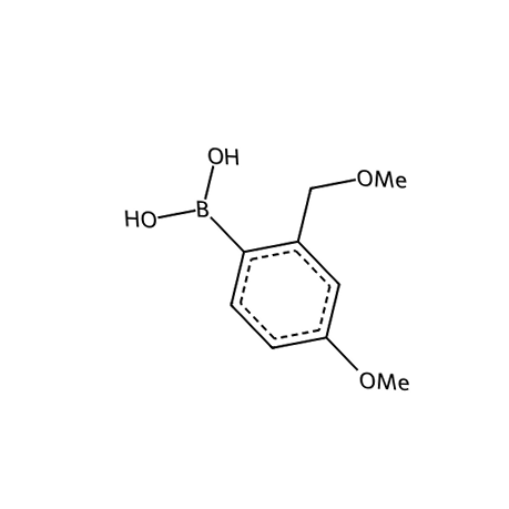 COCc1cc(OC)ccc1B(O)O